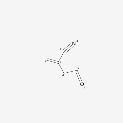 C=C(C#N)CC=O